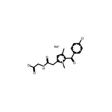 Cc1cc(CC(=O)NCC(=O)[O-])n(C)c1C(=O)c1ccc(Cl)cc1.[Na+]